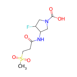 CS(=O)(=O)CCC(=O)NC1CN(C(=O)O)CC1F